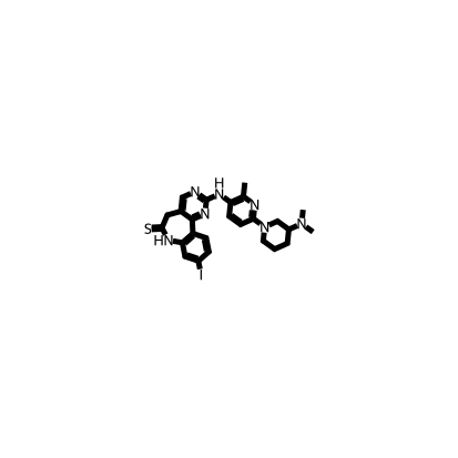 Cc1nc(N2CCCC(N(C)C)C2)ccc1Nc1ncc2c(n1)-c1ccc(I)cc1NC(=S)C2